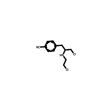 N#Cc1ccc(CC(CCl)NCCCl)cc1